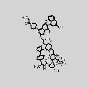 C=CC(=O)N1CCN(c2nc(O[C@H](C)CN3CCC(CC(=O)N[C@H](C(=O)N4C[C@H](O)C[C@H]4C(=O)N[C@@H](C)c4ccc(-c5scnc5C)cc4)C(C)(C)C)CC3)nc3c(F)c(-c4cc(O)cc5ccccc45)c(Cl)cc23)CC1